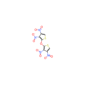 O=[N+]([O-])c1csc(Oc2scc([N+](=O)[O-])c2[N+](=O)[O-])c1[N+](=O)[O-]